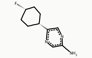 Nc1cnc([C@H]2CC[C@@H](F)CC2)cn1